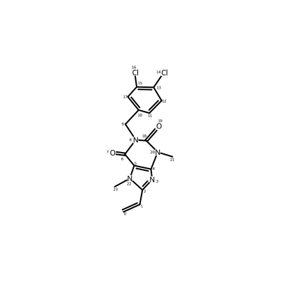 C=Cc1nc2c(c(=O)n(Cc3ccc(Cl)c(Cl)c3)c(=O)n2C)n1C